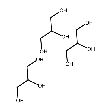 OCC(O)CO.OCC(O)CO.OCC(O)CO